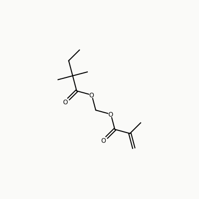 C=C(C)C(=O)OCOC(=O)C(C)(C)CC